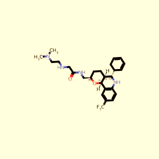 CN(C)CCNCC(=O)NC[C@H]1CC[C@@H]2[C@H](O1)c1cc(C(F)(F)F)ccc1N[C@H]2C1C=CC=CC1